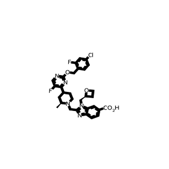 C[C@H]1CC(c2nc(OCc3ccc(Cl)cc3F)ncc2F)CCN1Cc1nc2ccc(C(=O)O)cc2n1C[C@@H]1CCO1